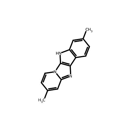 Cc1ccc2c(c1)[nH]c1c2nc2cc(C)ccn21